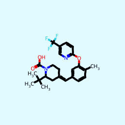 Cc1ccc(C=C2CCN(C(=O)O)C(C(C)(C)C)C2)cc1Oc1ccc(C(F)(F)F)cn1